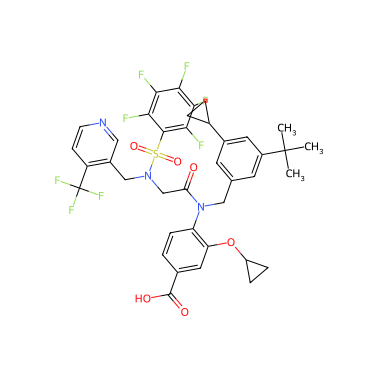 CC(C)(C)c1cc(CN(C(=O)CN(Cc2cnccc2C(F)(F)F)S(=O)(=O)c2c(F)c(F)c(F)c(F)c2F)c2ccc(C(=O)O)cc2OC2CC2)cc(C2CC2)c1